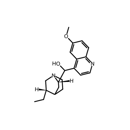 CC[C@@H]1CN2CCC1C[C@H]2C(O)c1ccnc2ccc(OC)cc12